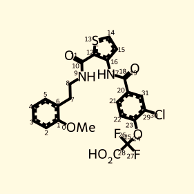 COc1ccccc1CCNC(=O)c1sccc1NC(=O)c1ccc(OC(F)(F)C(=O)O)c(Cl)c1